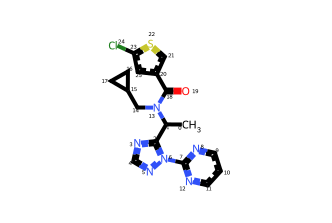 CC(c1ncnn1-c1ncccn1)N(CC1CC1)C(=O)c1csc(Cl)c1